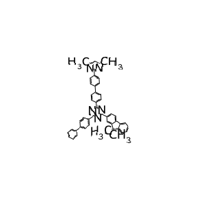 Cc1cc(C)nc(-c2ccc(-c3ccc(-c4nc(-c5ccc(-c6ccccc6)cc5)nc(-c5ccc6c(c5)C(C)(C)c5ccccc5-6)n4)cc3)cc2)n1